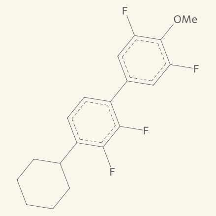 COc1c(F)cc(-c2ccc(C3CCCCC3)c(F)c2F)cc1F